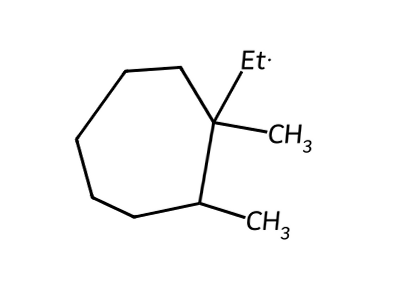 C[CH]C1(C)CCCCCC1C